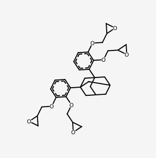 c1cc(OCC2CO2)c(OCC2CO2)c(C23CC4CC(C2)CC(c2cccc(OCC5CO5)c2OCC2CO2)(C4)C3)c1